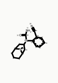 CN1C2CCCC1CC(N(C(N)=O)c1ccccc1C#N)C2